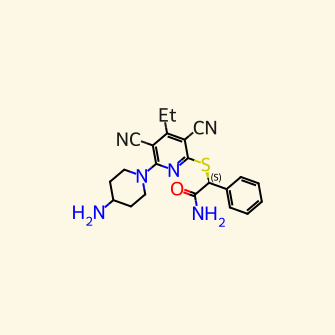 CCc1c(C#N)c(S[C@H](C(N)=O)c2ccccc2)nc(N2CCC(N)CC2)c1C#N